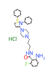 Cl.Nc1cccc(F)c1C(=O)NCCCCN1CCN(C2=CC=S(c3ccccc3)N2c2ccccc2)CC1